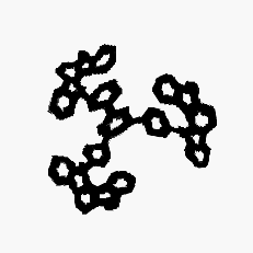 c1cc(-c2nc(-c3ccc(-n4c5ccccc5c5ccc6oc7ccccc7c6c54)cc3)cc(-c3ccc(-n4c5ccccc5c5ccc6oc7ccccc7c6c54)cc3)n2)cc(-n2c3ccccc3c3ccc4oc5ccccc5c4c32)c1